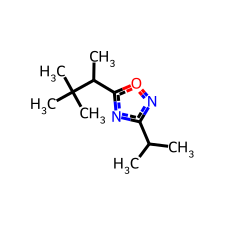 CC(C)c1noc(C(C)C(C)(C)C)n1